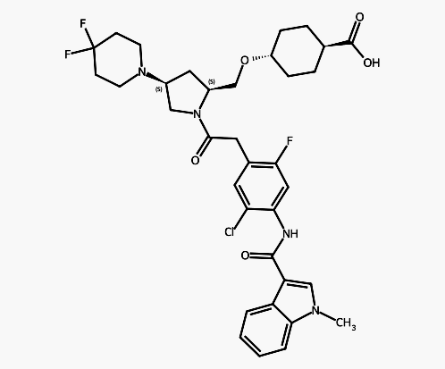 Cn1cc(C(=O)Nc2cc(F)c(CC(=O)N3C[C@@H](N4CCC(F)(F)CC4)C[C@H]3CO[C@H]3CC[C@H](C(=O)O)CC3)cc2Cl)c2ccccc21